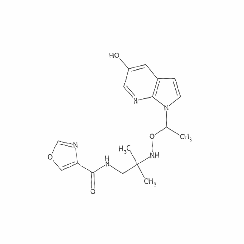 CC(ONC(C)(C)CNC(=O)c1cocn1)n1ccc2cc(O)cnc21